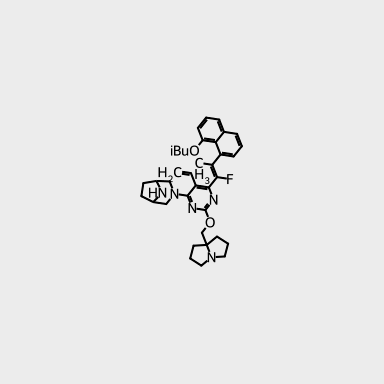 C=Cc1c(/C(F)=C(\C)c2cccc3cccc(OCC(C)C)c23)nc(OCC23CCCN2CCC3)nc1N1CC2CCC(C1)N2